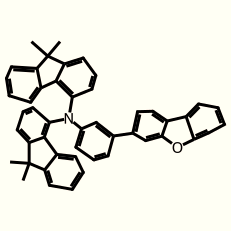 CC1(C)c2ccccc2-c2c(N(c3cccc(-c4ccc5c(c4)oc4ccccc45)c3)c3cccc4c3-c3ccccc3C4(C)C)cccc21